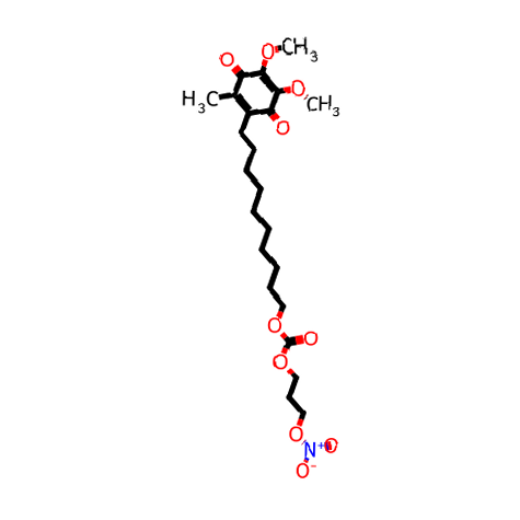 COC1=C(OC)C(=O)C(CCCCCCCCCCOC(=O)OCCCO[N+](=O)[O-])=C(C)C1=O